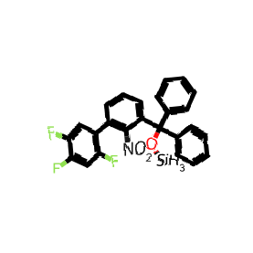 O=[N+]([O-])c1c(-c2cc(F)c(F)cc2F)cccc1C(O[SiH3])(c1ccccc1)c1ccccc1